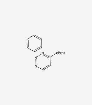 CCCCCc1ccnnn1.c1ccccc1